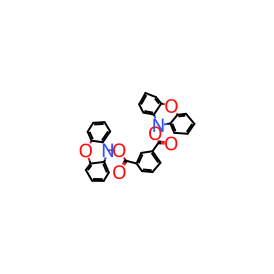 O=C(ON1c2ccccc2Oc2ccccc21)c1cccc(C(=O)ON2c3ccccc3Oc3ccccc32)c1